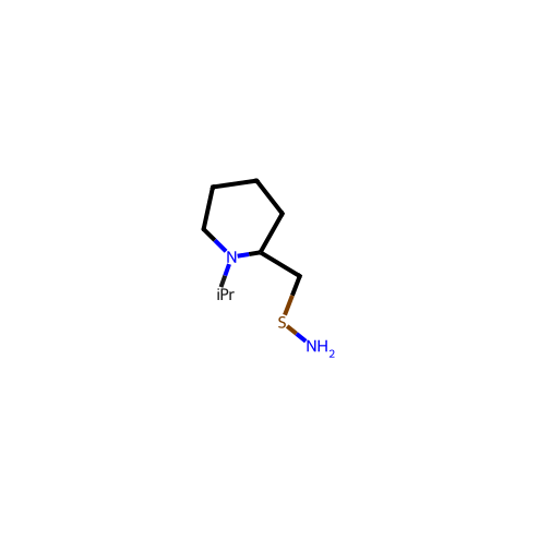 CC(C)N1CCCCC1CSN